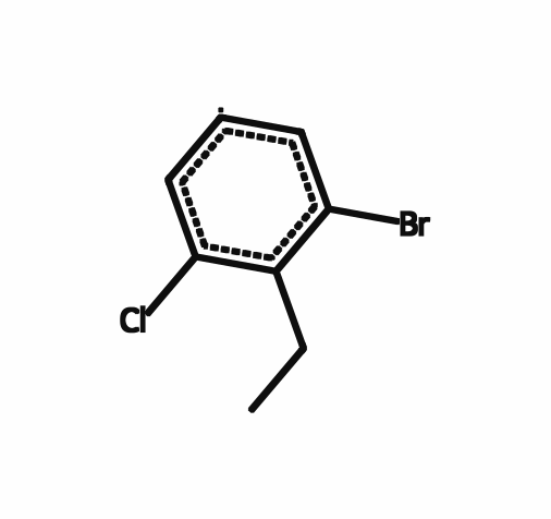 CCc1c(Cl)c[c]cc1Br